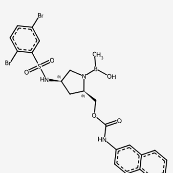 CB(O)N1C[C@H](NS(=O)(=O)c2cc(Br)ccc2Br)C[C@@H]1COC(=O)Nc1ccc2ccccc2c1